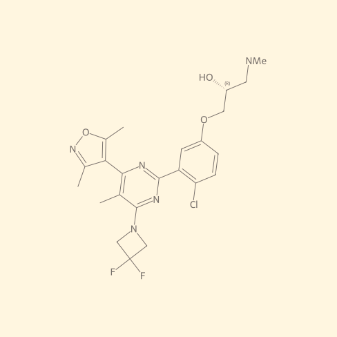 CNC[C@@H](O)COc1ccc(Cl)c(-c2nc(-c3c(C)noc3C)c(C)c(N3CC(F)(F)C3)n2)c1